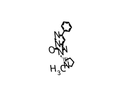 CN1CCC[C@H]1Cn1nc2cc(-c3ccccc3)ncn2c1=O